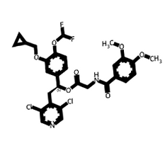 COc1ccc(C(=O)NCC(=O)O[C@@H](Cc2c(Cl)cncc2Cl)c2ccc(OC(F)F)c(OCC3CC3)c2)cc1OC